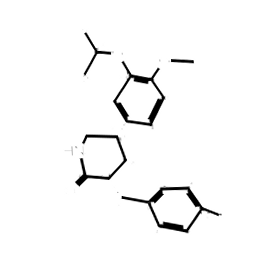 COc1ccc([C@H]2CNC(=O)[C@@H](Cc3ccc(F)cc3)C2)cc1OC(C)C